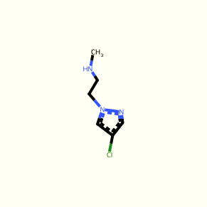 CNCCn1cc(Cl)cn1